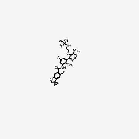 [2H]C([2H])([2H])NCCOc1c(N)ncnc1-c1cc(F)cc(NC(=O)c2cc3c(cc2F)C2(CC2)CO3)c1C